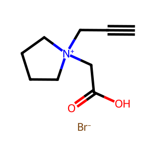 C#CC[N+]1(CC(=O)O)CCCC1.[Br-]